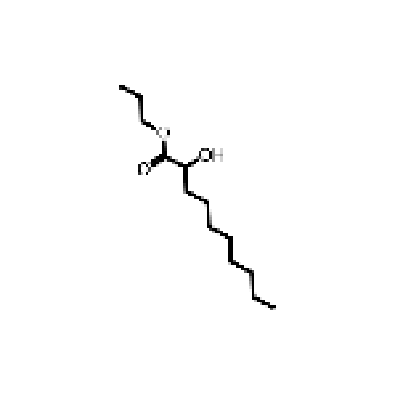 CCCCCCCCC(O)C(=O)OCCC